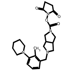 Cc1c(CN2CC3CN(C(=O)ON4C(=O)CCC4=O)CC3C2)cccc1N1CCCCC1